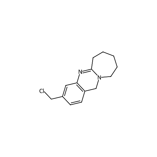 ClCc1ccc2c(c1)N=C1CCCCCN1C2